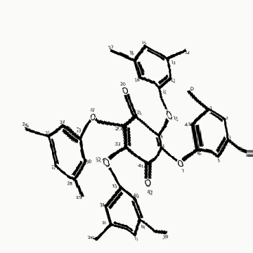 Cc1cc(C)cc(OC2=C(Oc3cc(C)cc(C)c3)C(=O)C(Oc3cc(C)cc(C)c3)=C(Oc3cc(C)cc(C)c3)C2=O)c1